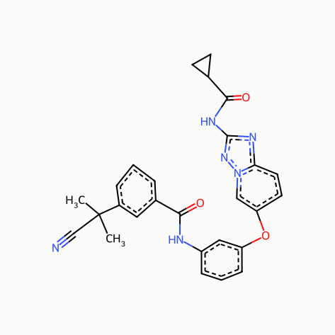 CC(C)(C#N)c1cccc(C(=O)Nc2cccc(Oc3ccc4nc(NC(=O)C5CC5)nn4c3)c2)c1